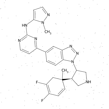 Cn1nccc1Nc1nccc(-c2ccc3c(c2)nnn3C2CNC[C@H]2C2(C)C=CC(F)=C(F)C2)n1